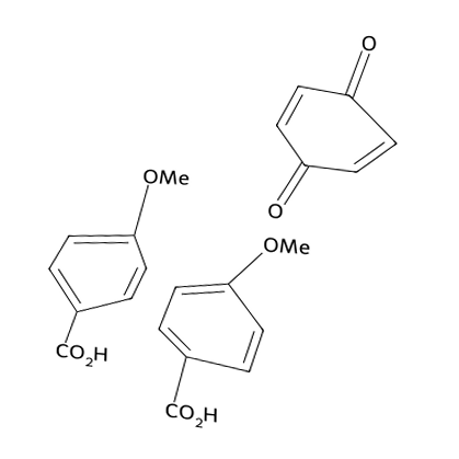 COc1ccc(C(=O)O)cc1.COc1ccc(C(=O)O)cc1.O=C1C=CC(=O)C=C1